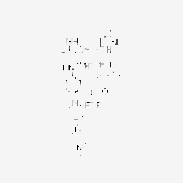 Cc1cc(-c2nc(C(N)=O)c(Nc3ccc(N4CCC(N5CCN(C)CC5)CC4)c(OC(F)F)c3)nc2NC2CCOCC23CC3)n[nH]1